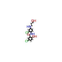 O=C(Nc1ccc(NCCCO)cc1Cl)c1cc(Cl)ccc1O